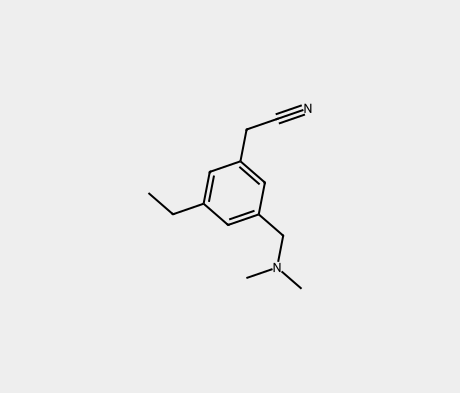 CCc1cc(CC#N)cc(CN(C)C)c1